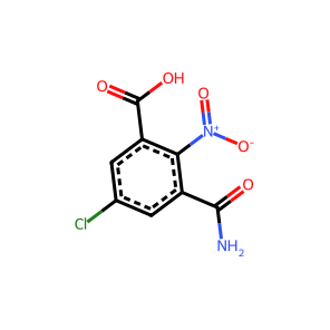 NC(=O)c1cc(Cl)cc(C(=O)O)c1[N+](=O)[O-]